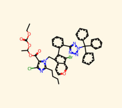 CCCCc1nc(Cl)c(C(=O)OC(C)OC(=O)OCC)n1Cc1c2ccocc-2c(Br)c1-c1ccccc1-c1nnn(C(c2ccccc2)(c2ccccc2)c2ccccc2)n1